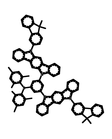 Cc1cc(C)c(B(c2cc(-n3c4ccccc4c4cc5c(cc43)c3ccccc3n5-c3ccc4c(c3)-c3ccccc3C4(C)C)cc(-n3c4ccccc4c4cc5c(cc43)c3ccccc3n5-c3ccc4c(c3)-c3ccccc3C4(C)C)c2)c2c(C)cc(C)cc2C)c(C)c1